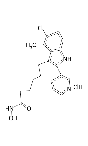 Cc1c(Cl)ccc2[nH]c(-c3cccnc3)c(CCCCCC(=O)NO)c12.Cl